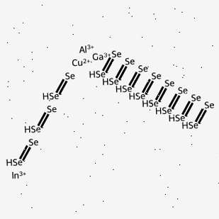 [Al+3].[Cu+2].[Ga+3].[In+3].[Se]=[SeH-].[Se]=[SeH-].[Se]=[SeH-].[Se]=[SeH-].[Se]=[SeH-].[Se]=[SeH-].[Se]=[SeH-].[Se]=[SeH-].[Se]=[SeH-].[Se]=[SeH-].[Se]=[SeH-]